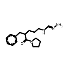 NN=CNCCCC(Cc1ccccc1)C(=O)N1CCCC1